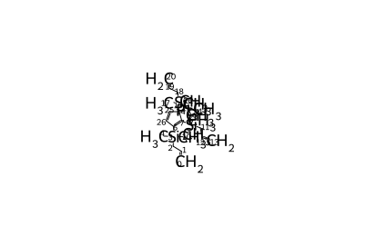 C=CC[Si](C)(C)C1=C([Si](C)(C)CC=C)[C]([Si](C)(C)CC=C)([Pt]([CH3])([CH3])[CH3])C=C1